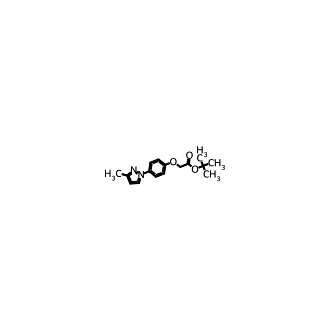 Cc1ccn(-c2ccc(OCC(=O)OC(C)(C)C)cc2)n1